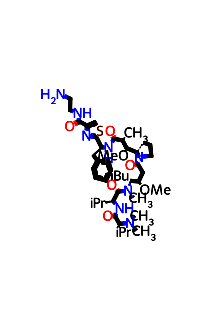 CC[C@H](C)[C@@H]([C@@H](CC(=O)N1CCC[C@H]1[C@H](OC)[C@@H](C)C(=O)N[C@@H](Cc1ccccc1)c1nc(C(=O)NCCN)cs1)OC)N(C)C(=O)[C@@H](NC(=O)[C@H](C(C)C)N(C)C)C(C)C